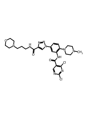 CN1CCN(c2ccc(-n3cc(C(=O)NCCCN4CCOCC4)nn3)cc2NC(=O)c2cnc(Cl)nc2Cl)CC1